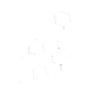 C#CC(=O)N(c1ccc(OC)cc1)C(C(=O)NCc1ccccc1)c1cccc(N)c1